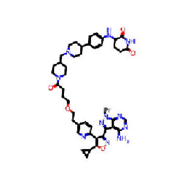 CC(C)n1nc(-c2noc(C3CC3)c2-c2ccc(CCOCCCC(=O)N3CCC(CN4CCC(c5ccc(NC6CCC(=O)NC6=O)cc5)CC4)CC3)cn2)c2c(N)ncnc21